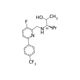 CC(C)[C@@H](NCc1nc(-c2ccc(C(F)(F)F)cc2)ccc1F)C(C)O